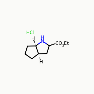 CCOC(=O)C1C[C@H]2CCC[C@H]2N1.Cl